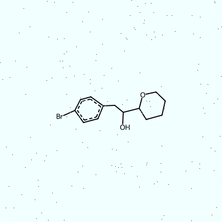 OC(Cc1ccc(Br)cc1)C1CCCCO1